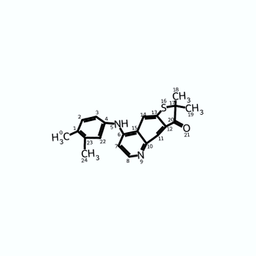 Cc1ccc(Nc2ccnc3cc4c(cc23)SC(C)(C)C4=O)cc1C